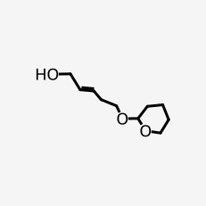 OCC=CCCOC1CCCCO1